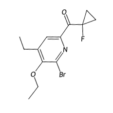 CCOc1c(CC)cc(C(=O)C2(F)CC2)nc1Br